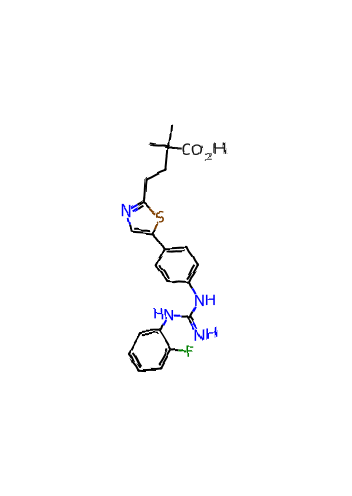 CC(C)(CCc1ncc(-c2ccc(NC(=N)Nc3ccccc3F)cc2)s1)C(=O)O